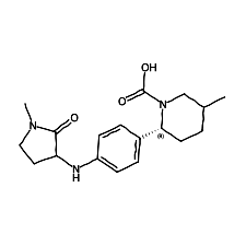 CC1CC[C@H](c2ccc(NC3CCN(C)C3=O)cc2)N(C(=O)O)C1